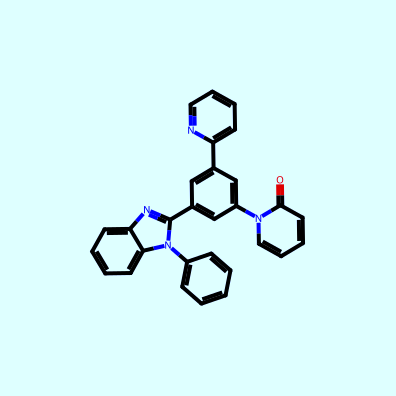 O=c1ccccn1-c1cc(-c2ccccn2)cc(-c2nc3ccccc3n2-c2ccccc2)c1